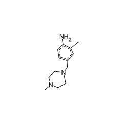 Cc1cc(CN2CCN(C)CC2)ccc1N